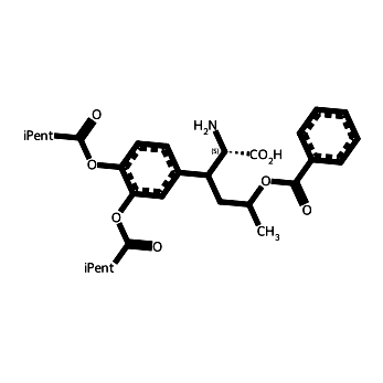 CCCC(C)C(=O)Oc1ccc(C(CC(C)OC(=O)c2ccccc2)[C@H](N)C(=O)O)cc1OC(=O)C(C)CCC